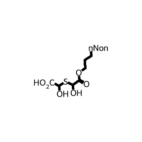 CCCCCCCCCCCCOC(=O)C(O)SC(O)C(=O)O